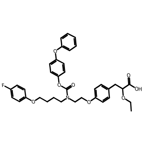 CCOC(Cc1ccc(OCCN(CCCCOc2ccc(F)cc2)C(=O)Oc2ccc(Oc3ccccc3)cc2)cc1)C(=O)O